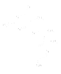 Cc1nc(Cl)c(C)c(N2Cc3cc(N)cnc3C(C)(C)C2)n1